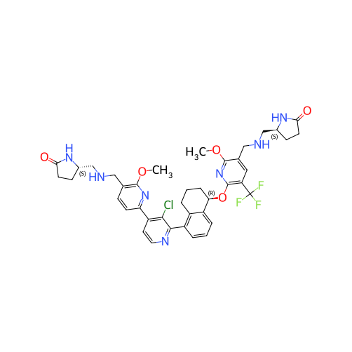 COc1nc(-c2ccnc(-c3cccc4c3CCC[C@H]4Oc3nc(OC)c(CNC[C@@H]4CCC(=O)N4)cc3C(F)(F)F)c2Cl)ccc1CNC[C@@H]1CCC(=O)N1